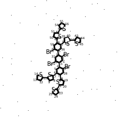 Brc1cc(-c2cc(-c3ccc(-c4cccs4)s3)c(-c3ccc(-c4cccs4)s3)cc2Br)c(Br)cc1-c1cc(C2=CCC(c3cccs3)S2)c(-c2ccc(-c3cccs3)s2)cc1Br